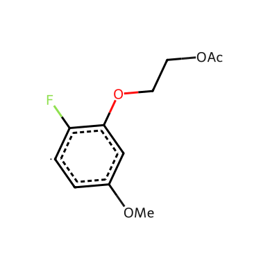 COc1c[c]c(F)c(OCCOC(C)=O)c1